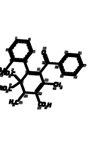 CCOC(=O)C1(C(=O)O)C(c2ccccc2[N+](=O)[O-])=C(C(=O)c2ccccc2)C(C)=C(C(=O)O)C1C